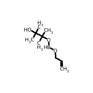 C=CCOBOC(C)(C)C(C)(C)O